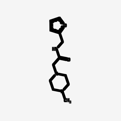 CN1CCN(CC(=O)NCc2ccco2)CC1